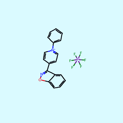 F[P-](F)(F)(F)(F)F.c1ccc(-[n+]2ccc(-c3noc4ccccc34)cc2)cc1